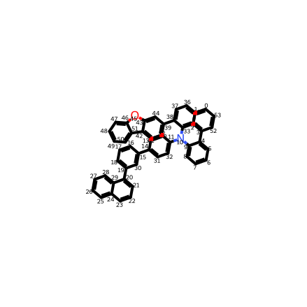 c1ccc(-c2ccccc2N(c2ccc(-c3cccc(-c4cccc5ccccc45)c3)cc2)c2ccccc2-c2ccc3c(c2)oc2ccccc23)cc1